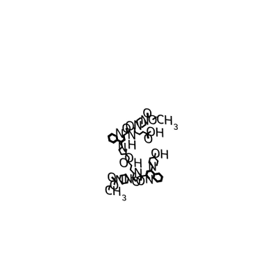 CCOC(=O)N1CCN(C(=O)C(CCC(=O)OC2CCN(c3cc(C(=O)NC(CCC(=O)O)C(=O)N4CCN(C(=O)OCC)CC4)nc4ccccc34)C2)NC(=O)c2cc(N3CCC(O)CC3)c3ccccc3n2)CC1